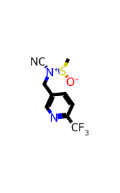 CS([O-])=[N+](C#N)Cc1ccc(C(F)(F)F)nc1